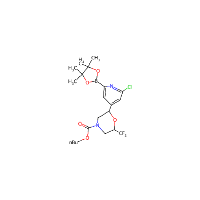 CCCCOC(=O)N1CC(c2cc(Cl)nc(B3OC(C)(C)C(C)(C)O3)c2)OC(C(F)(F)F)C1